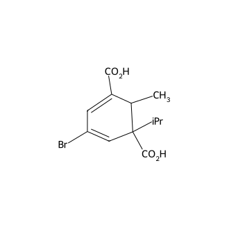 CC(C)C1(C(=O)O)C=C(Br)C=C(C(=O)O)C1C